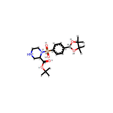 CC(C)(C)OC(=O)C1CNCCN1S(=O)(=O)c1ccc(B2OC(C)(C)C(C)(C)O2)cc1